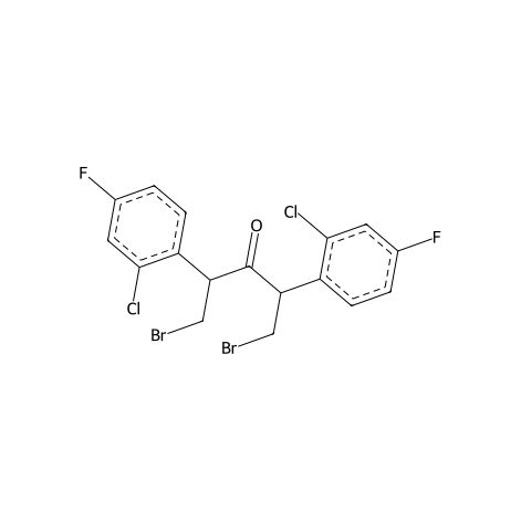 O=C(C(CBr)c1ccc(F)cc1Cl)C(CBr)c1ccc(F)cc1Cl